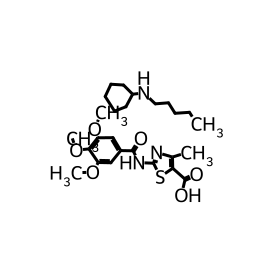 CCCCCNC1CCCCC1.COc1cc(C(=O)Nc2nc(C)c(C(=O)O)s2)cc(OC)c1OC